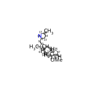 CO[C@@H]1C[C@H]2[C@@H]3CC[C@H]([C@H](C)/C=C/c4ccc(C)cn4)[C@@]3(C)CC[C@@H]2[C@@]2(C)CC[C@@H]3CC312